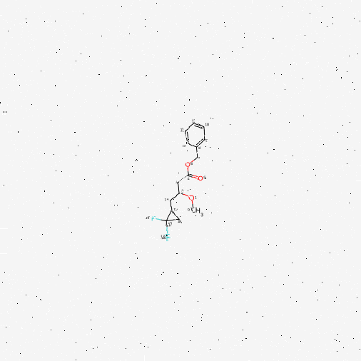 COC(CC(=O)OCc1ccccc1)CC1CC1(F)F